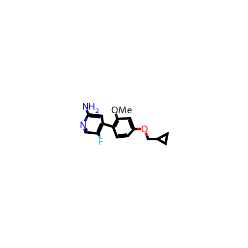 COc1cc(OCC2CC2)ccc1-c1cc(N)ncc1F